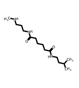 CNCCCNC(=O)CCCCC(=O)NCCC(C)C